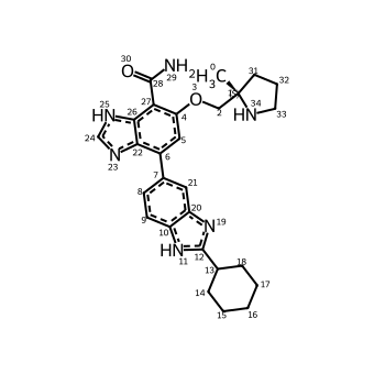 C[C@@]1(COc2cc(-c3ccc4[nH]c(C5CCCCC5)nc4c3)c3nc[nH]c3c2C(N)=O)CCCN1